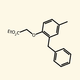 CCOC(=O)COc1ccc(C)cc1Cc1ccccc1